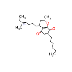 CCCCCCC1=CC(=O)C2=C(OC(C)CC2CCC/C=C(\C)CC)C1=O